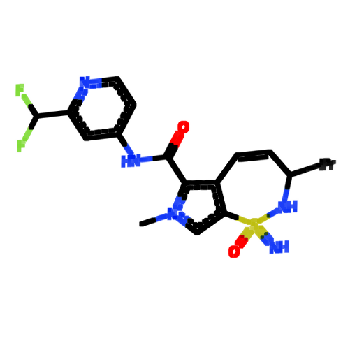 CC(C)C1C=Cc2c(cn(C)c2C(=O)Nc2ccnc(C(F)F)c2)S(=N)(=O)N1